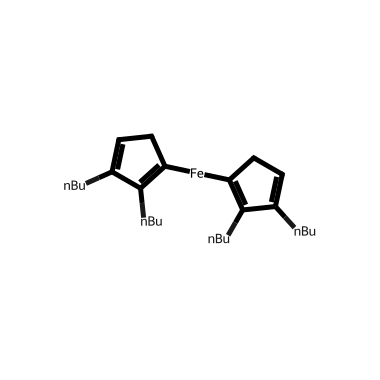 CCCCC1=CC[C]([Fe][C]2=C(CCCC)C(CCCC)=CC2)=C1CCCC